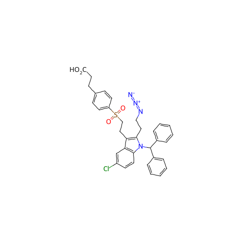 [N-]=[N+]=NCCc1c(CCS(=O)(=O)c2ccc(CCC(=O)O)cc2)c2cc(Cl)ccc2n1C(c1ccccc1)c1ccccc1